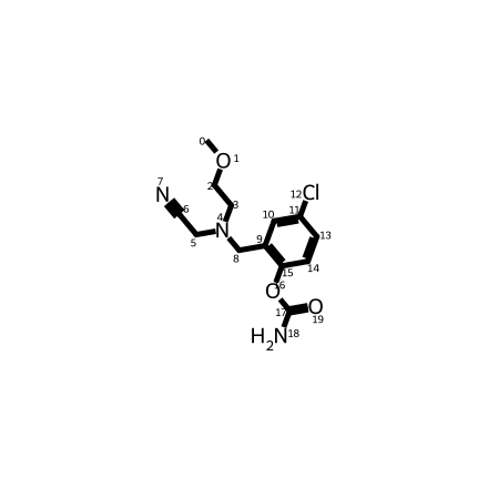 COCCN(CC#N)Cc1cc(Cl)ccc1OC(N)=O